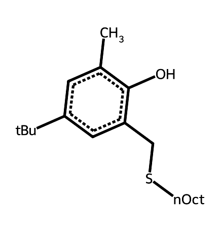 CCCCCCCCSCc1cc(C(C)(C)C)cc(C)c1O